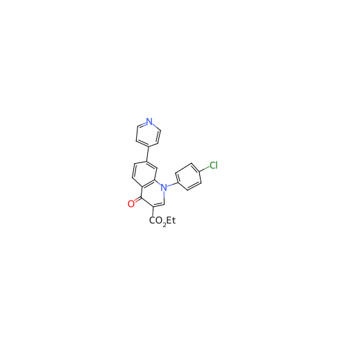 CCOC(=O)c1cn(-c2ccc(Cl)cc2)c2cc(-c3ccncc3)ccc2c1=O